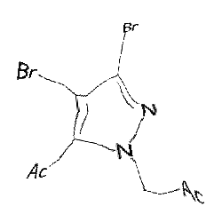 CC(=O)Cn1nc(Br)c(Br)c1C(C)=O